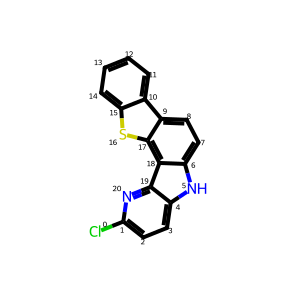 Clc1ccc2[nH]c3ccc4c5ccccc5sc4c3c2n1